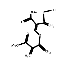 C=C(S/C=C(\C(=C)SS)C(=O)OC)C(=C)C(=O)OC